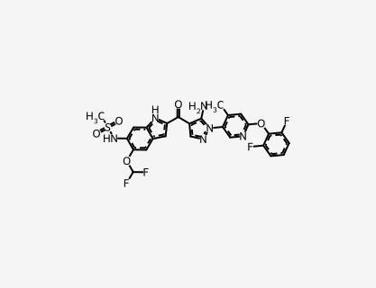 Cc1cc(Oc2c(F)cccc2F)ncc1-n1ncc(C(=O)c2cc3cc(OC(F)F)c(NS(C)(=O)=O)cc3[nH]2)c1N